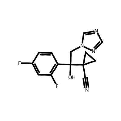 N#CC1(C(O)(Cn2cncn2)c2ccc(F)cc2F)CC1